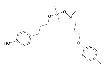 Cc1ccc(OCCC[Si](C)(C)O[Si](C)(C)OCCCc2ccc(O)cc2)cc1